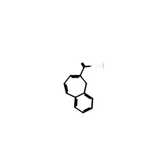 O=C(O)C1=CC=Cc2ccccc2C1